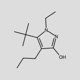 CCCc1c(O)nn(CC)c1C(C)(C)C